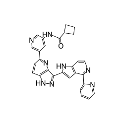 O=C(Nc1cncc(-c2ccc3[nH]nc(-c4cc5c(-c6ccccn6)nccc5[nH]4)c3n2)c1)C1CCC1